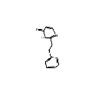 O=c1ccnc(CCc2ccccc2)[nH]1